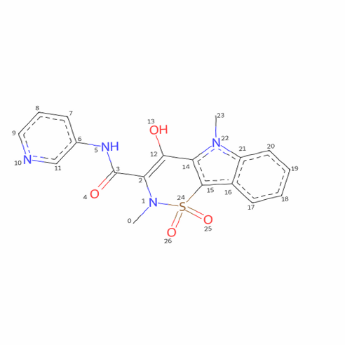 CN1C(C(=O)Nc2cccnc2)=C(O)c2c(c3ccccc3n2C)S1(=O)=O